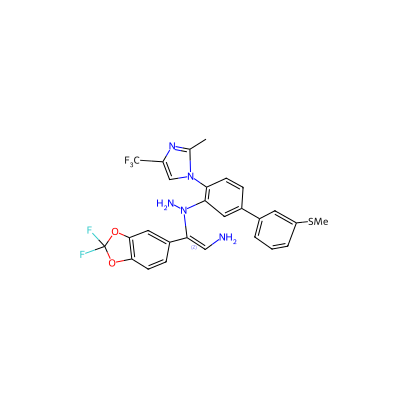 CSc1cccc(-c2ccc(-n3cc(C(F)(F)F)nc3C)c(N(N)/C(=C\N)c3ccc4c(c3)OC(F)(F)O4)c2)c1